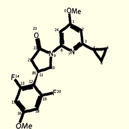 COc1cc(C2CC2)nc(N2C[C@@H](c3c(F)cc(OC)cc3F)CC2=O)c1